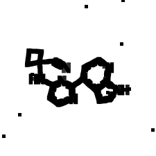 N#CC1(Nc2ccnc(-c3ccnc4[nH]ccc34)n2)CCC1